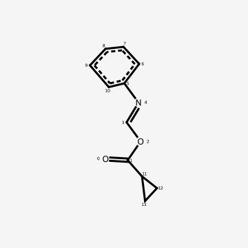 O=C(OC=Nc1ccccc1)C1CC1